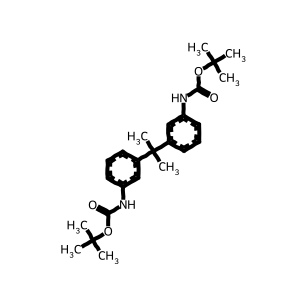 CC(C)(C)OC(=O)Nc1cccc(C(C)(C)c2cccc(NC(=O)OC(C)(C)C)c2)c1